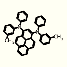 Cc1cccc(N(C2=CC(N(c3ccccc3)c3cccc(C)c3)=C3C=Cc4cccc5c4C3C2C=C5)c2ccccc2)c1